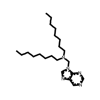 CCCCCCCCN(CCCCCCCC)Cn1cnc2cncnc21